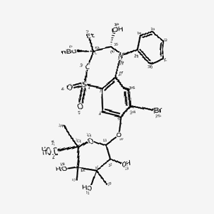 CCCC[C@]1(CC)CS(=O)(=O)c2cc(OC3OC(C)(C(=O)O)C(C)(O)C(C)(O)C3O)c(Br)cc2N(c2ccccc2)[C@H]1O